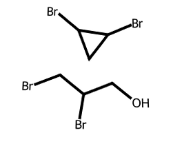 BrC1CC1Br.OCC(Br)CBr